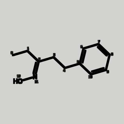 CCC(CCc1ccccc1)=NO